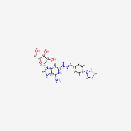 Nc1nc(NN=Cc2ccc(N3CCCC3)cc2)nc2c1ncn2[C@@H]1O[C@H](CO)[C@@H](O)[C@H]1O